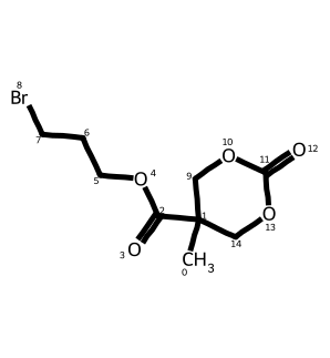 CC1(C(=O)OCCCBr)COC(=O)OC1